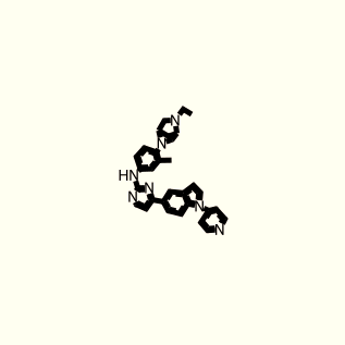 CCN1CC2CC1CN2c1ccc(Nc2nccc(-c3ccc4c(ccn4-c4ccncc4)c3)n2)cc1C